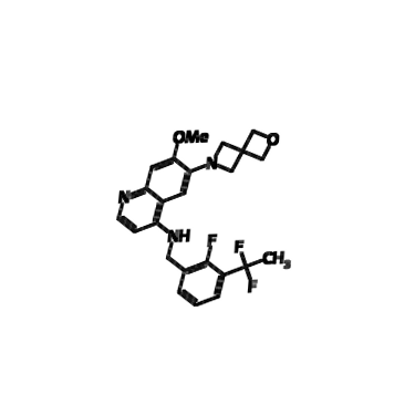 COc1cc2nccc(NCc3cccc(C(C)(F)F)c3F)c2cc1N1CC2(COC2)C1